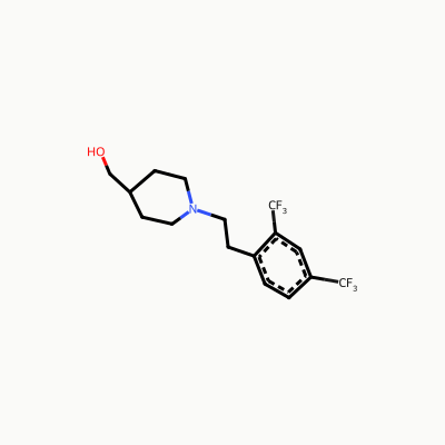 OCC1CCN(CCc2ccc(C(F)(F)F)cc2C(F)(F)F)CC1